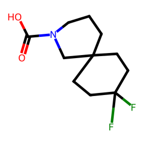 O=C(O)N1CCCC2(CCC(F)(F)CC2)C1